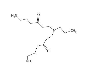 CCCN(CCC(=O)CCCN)CCC(=O)CCCN